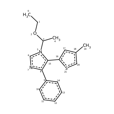 CCOC(C)n1cnc(-c2ccccc2)c1-c1cc(C)cs1